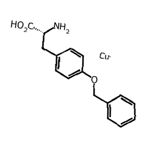 N[C@H](Cc1ccc(OCc2ccccc2)cc1)C(=O)O.[Cu]